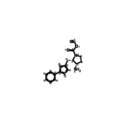 CC(C)(C)OC(=O)N1CC[C@H](N)[C@@H]1Cc1csc(-c2ccccc2)n1